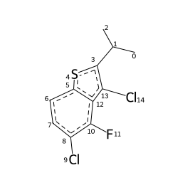 CC(C)c1sc2ccc(Cl)c(F)c2c1Cl